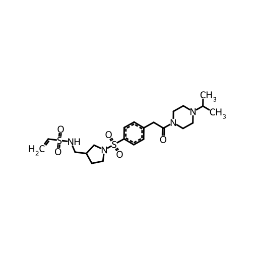 C=CS(=O)(=O)NCC1CCN(S(=O)(=O)c2ccc(CC(=O)N3CCN(C(C)C)CC3)cc2)C1